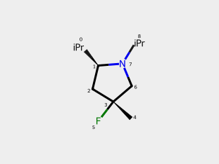 CC(C)[C@@H]1C[C@@](C)(F)CN1C(C)C